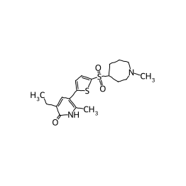 CCc1cc(-c2ccc(S(=O)(=O)C3CCCN(C)CC3)s2)c(C)[nH]c1=O